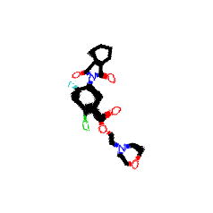 O=C(OCCN1CCOCC1)c1cc(N2C(=O)C3=C(CCCC3)C2=O)c(F)cc1Cl